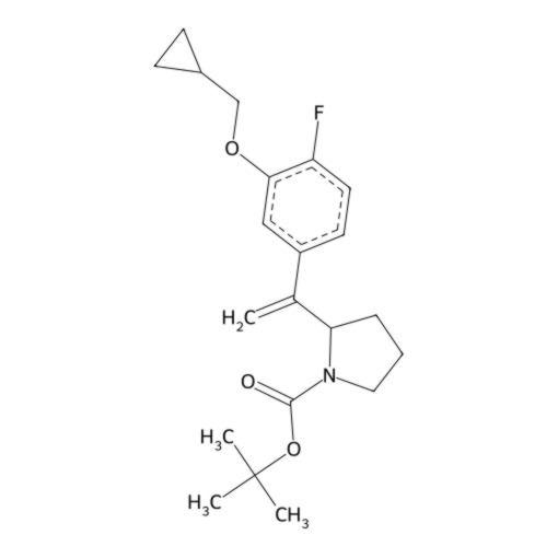 C=C(c1ccc(F)c(OCC2CC2)c1)C1CCCN1C(=O)OC(C)(C)C